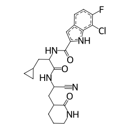 N#CC(CC1CCCNC1=O)NC(=O)C(CC1CC1)NC(=O)c1cc2ccc(F)c(Cl)c2[nH]1